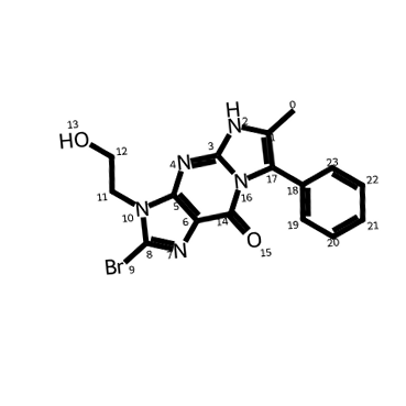 Cc1[nH]c2nc3c(nc(Br)n3CCO)c(=O)n2c1-c1ccccc1